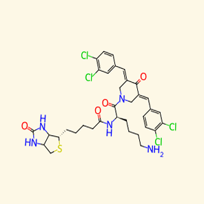 NCCCC[C@@H](NC(=O)CCCC[C@@H]1SCC2NC(=O)NC21)C(=O)N1C/C(=C\c2ccc(Cl)c(Cl)c2)C(=O)/C(=C/c2ccc(Cl)c(Cl)c2)C1